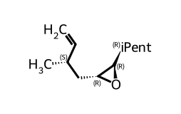 C=C[C@@H](C)C[C@H]1O[C@@H]1[C@H](C)CCC